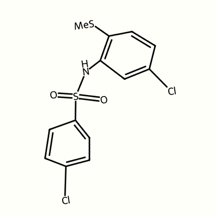 CSc1ccc(Cl)cc1NS(=O)(=O)c1ccc(Cl)cc1